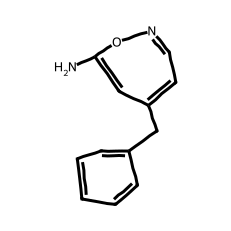 NC1=CC(Cc2ccccc2)=CC=NO1